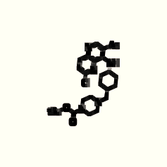 CC(=O)c1cnc2ccc(Cl)nc2c1N[C@H]1CC[C@H](CN2CCN(C(=O)OC(C)(C)C)CC2)CC1